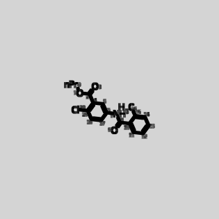 CCCOC(=O)c1cc(NC(=O)c2ccccc2C)ccc1Cl